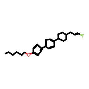 CCCCCCOc1ccc(-c2ccc(C3CCC(C/C=C/F)CC3)cc2)cc1